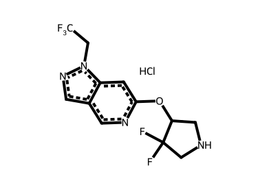 Cl.FC(F)(F)Cn1ncc2cnc(OC3CNCC3(F)F)cc21